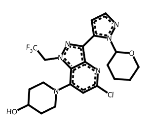 OC1CCN(c2cc(Cl)nc3c(-c4ccnn4C4CCCCO4)nn(CC(F)(F)F)c23)CC1